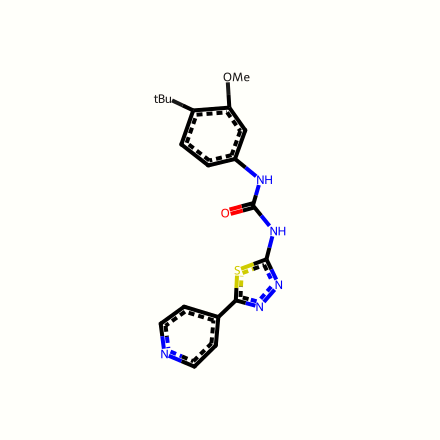 COc1cc(NC(=O)Nc2nnc(-c3ccncc3)s2)ccc1C(C)(C)C